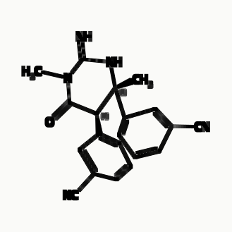 CN1C(=N)N[C@](C)(c2cccc(C#N)c2)[C@@H](c2cccc(C#N)c2)C1=O